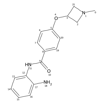 CN1CC(Oc2ccc(C(=O)Nc3ccccc3N)cc2)C1